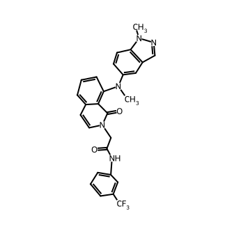 CN(c1ccc2c(cnn2C)c1)c1cccc2ccn(CC(=O)Nc3cccc(C(F)(F)F)c3)c(=O)c12